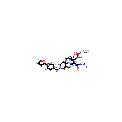 COC(=O)Nc1nn(C2(CC#N)CCN(Cc3ccc(-c4ccco4)cc3)CC2F)cc1C(N)=O